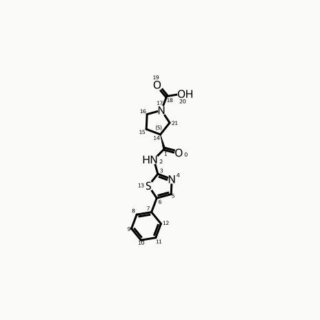 O=C(Nc1ncc(-c2ccccc2)s1)[C@H]1CCN(C(=O)O)C1